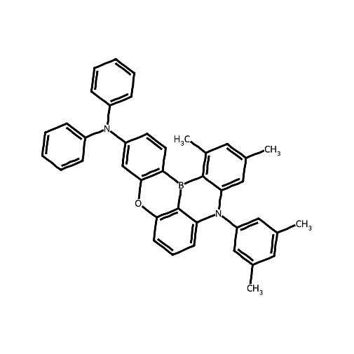 Cc1cc(C)cc(N2c3cc(C)cc(C)c3B3c4ccc(N(c5ccccc5)c5ccccc5)cc4Oc4cccc2c43)c1